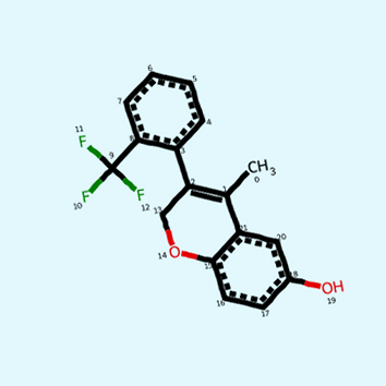 CC1=C(c2ccccc2C(F)(F)F)COc2ccc(O)cc21